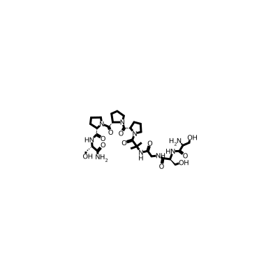 CC(C)(NC(=O)CNC(=O)[C@H](CO)NC(=O)[C@@H](N)CO)C(=O)N1CCC[C@H]1C(=O)N1CCC[C@H]1C(=O)N1CCC[C@H]1C(=O)N[C@@H](CO)C(N)=O